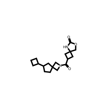 O=C1NC2(CO1)CC(C(=O)N1CC3(CCC(C4CCC4)C3)C1)C2